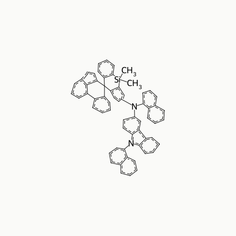 C[Si]1(C)c2ccccc2C2(c3ccccc3-c3cccc4cccc2c34)c2ccc(N(c3ccc4c(c3)c3ccccc3n4-c3cccc4ccccc34)c3cccc4ccccc34)cc21